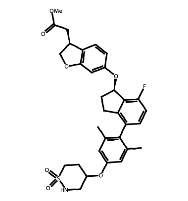 COC(=O)C[C@@H]1COc2cc(O[C@@H]3CCc4c(-c5c(C)cc(OC6CCS(=O)(=O)NC6)cc5C)ccc(F)c43)ccc21